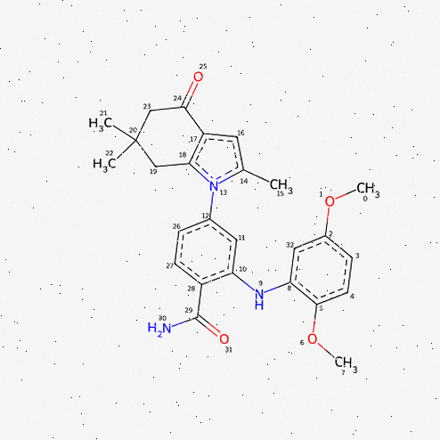 COc1ccc(OC)c(Nc2cc(-n3c(C)cc4c3CC(C)(C)CC4=O)ccc2C(N)=O)c1